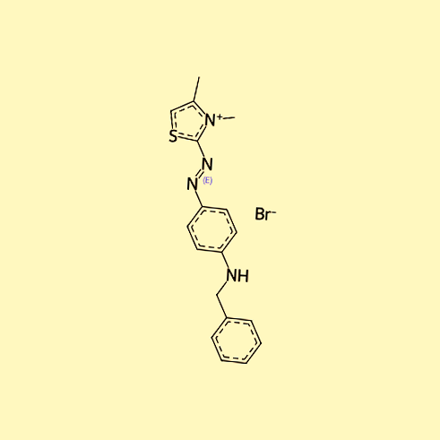 Cc1csc(/N=N/c2ccc(NCc3ccccc3)cc2)[n+]1C.[Br-]